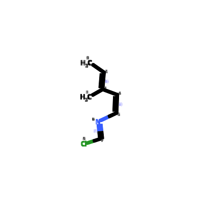 C/C=C(C)/C=C\N=C\Cl